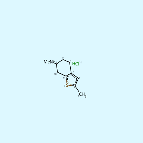 CNC1CCc2cc(C)sc2C1.Cl